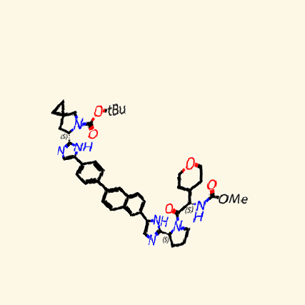 COC(=O)N[C@H](C(=O)N1CCC[C@H]1c1ncc(-c2ccc3cc(-c4ccc(-c5cnc([C@@H]6CC7(CC7)CN6C(=O)OC(C)(C)C)[nH]5)cc4)ccc3c2)[nH]1)C1CCOCC1